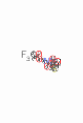 C=C(C(=O)OCCNC(=O)OC1C2CC3C(=O)OC1C3S2)C(F)(F)F